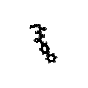 CC(=O)NC(=S)NNC(=O)c1ccc(C2CCCCC2)cc1